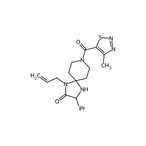 C=CCN1C(=O)C(C(C)C)NC12CCN(C(=O)c1snnc1C)CC2